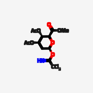 COC(=O)[C@H]1O[C@H](OC(=N)C(Cl)(Cl)Cl)C[C@@H](OC(C)=O)[C@@H]1OC(C)=O